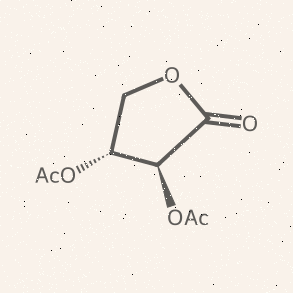 CC(=O)O[C@@H]1C(=O)OC[C@H]1OC(C)=O